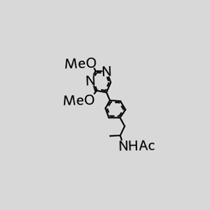 COc1ncc(-c2ccc(CC(C)NC(C)=O)cc2)c(OC)n1